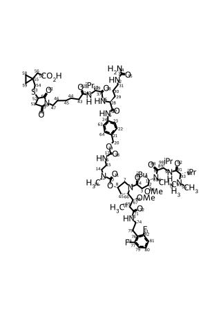 CC[C@H](C)[C@@H]([C@@H](CC(=O)N1C[C@@H](OC(=O)N(C)CCNC(=O)OCc2ccc(NC(=O)[C@H](CCCNC(N)=O)NC(=O)[C@@H](NC(=O)CCCCCN3C(=O)CC(SCC4(CC(=O)O)CC4)C3=O)C(C)C)cc2)C[C@H]1[C@H](OC)[C@@H](C)C(=O)NCCc1c(F)cccc1F)OC)N(C)C(=O)[C@@H](NC(=O)[C@H](C(C)C)N(C)C)C(C)C